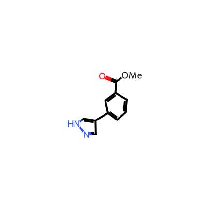 COC(=O)c1cccc(-c2cn[nH]c2)c1